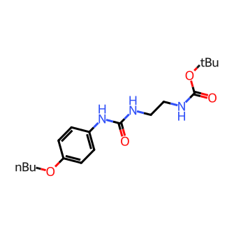 CCCCOc1ccc(NC(=O)NCCNC(=O)OC(C)(C)C)cc1